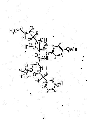 COc1ccc(C(NC(=O)C(CO[Si](C)(C)C(C)(C)C)NC(=O)C(F)(F)c2cccc(Cl)c2)C(=O)N[C@@H](C(C)C)C(O)C(F)(F)C(=O)NCC(F)(F)F)cc1